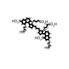 O=S(=O)(O)CCCN1C2=C(/C=C/C=C3\CCC4C3=[N+](CCCS(=O)(=O)O)c3ccc5cc(SOOO)cc(S(=O)(=O)O)c5c34)CCC2c2c1ccc1cc(S(=O)(=O)O)cc(SOOO)c21